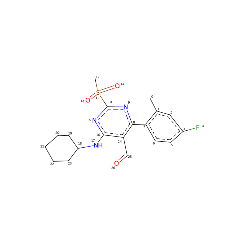 Cc1cc(F)ccc1-c1nc(S(C)(=O)=O)nc(NC2CCCCC2)c1C=O